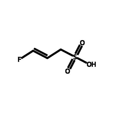 O=S(=O)(O)C/C=C/F